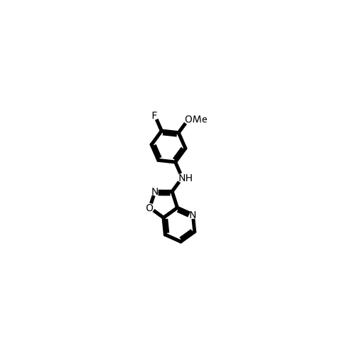 COc1cc(Nc2noc3cccnc23)ccc1F